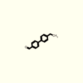 CCc1ccc(-c2ccc(C=O)cc2)cc1